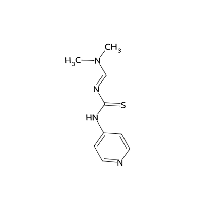 CN(C)C=NC(=S)Nc1ccncc1